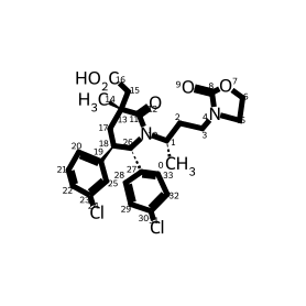 C[C@@H](CCN1CCOC1=O)N1C(=O)[C@@](C)(CC(=O)O)C[C@H](c2cccc(Cl)c2)[C@H]1c1ccc(Cl)cc1